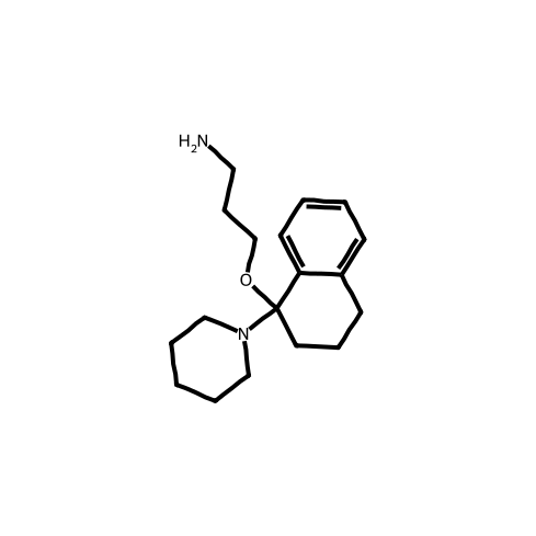 NCCCOC1(N2CCCCC2)CCCc2ccccc21